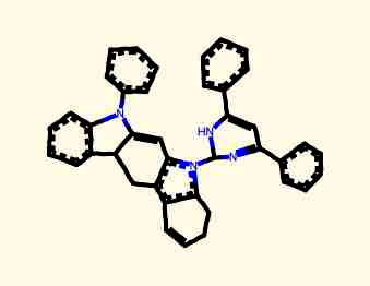 C1=Cc2c3c(n(C4N=C(c5ccccc5)C=C(c5ccccc5)N4)c2CC1)C=C1C(C3)c2ccccc2N1c1ccccc1